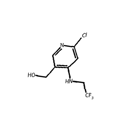 OCc1cnc(Cl)cc1NCC(F)(F)F